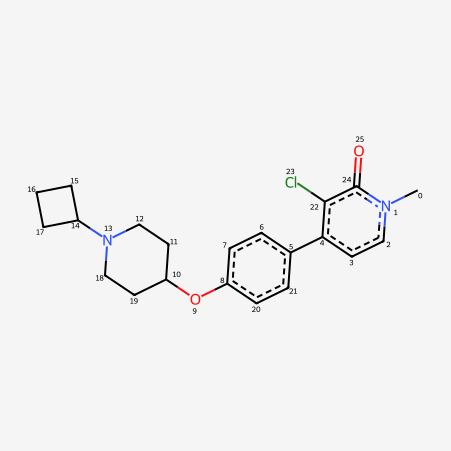 Cn1ccc(-c2ccc(OC3CCN(C4CCC4)CC3)cc2)c(Cl)c1=O